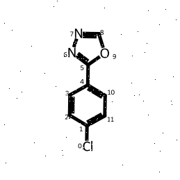 Clc1[c]cc(-c2nnco2)cc1